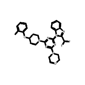 Cc1ccccc1OC1CCN(c2nc(N3CCOCC3)nc(-n3c(C(F)F)nc4ccccc43)n2)CC1